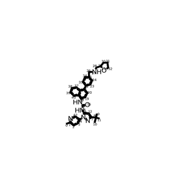 Cc1ccc(-n2nc(C(C)(C)C)cc2NC(=O)Nc2ccc(-c3ccc(CNCC4CCCO4)cc3)c3ccccc23)cn1